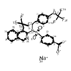 O=C([O-])c1ccc(S(=O)(=O)N(Cc2ccc(OC(F)(F)F)cc2)c2ncc3ccccc3c2C(F)(F)F)cc1.[Na+]